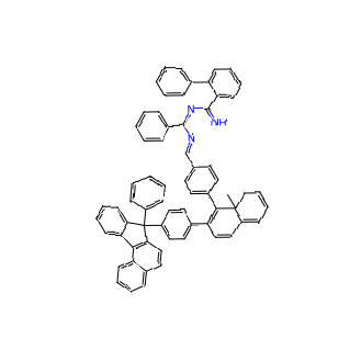 CC12CC=CC=C1C=CC(c1ccc(C3(c4ccccc4)c4ccccc4-c4c3ccc3ccccc43)cc1)=C2c1ccc(/C=N/C(=N\C(=N)c2ccccc2-c2ccccc2)c2ccccc2)cc1